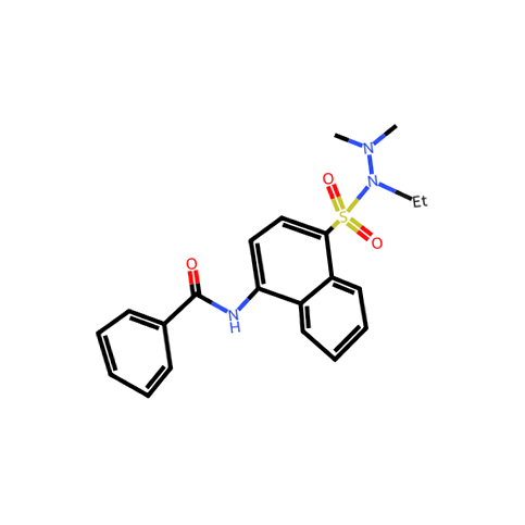 CCN(N(C)C)S(=O)(=O)c1ccc(NC(=O)c2ccccc2)c2ccccc12